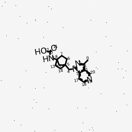 Cc1nn(CC23CCC(NC(=O)O)(CC2)C3)c2ccncc12